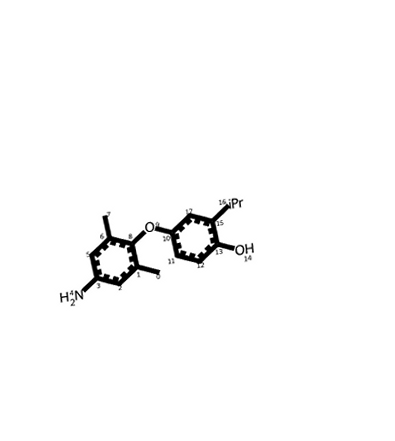 Cc1cc(N)cc(C)c1Oc1ccc(O)c(C(C)C)c1